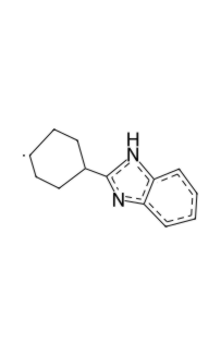 [CH]1CCC(c2nc3ccccc3[nH]2)CC1